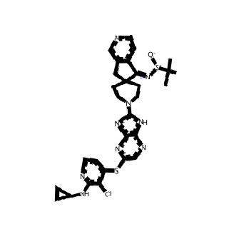 CC(C)(C)[S+]([O-])/N=C1\c2ccncc2CC12CCN(c1nc3nc(Sc4ccnc(NC5CC5)c4Cl)cnc3[nH]1)CC2